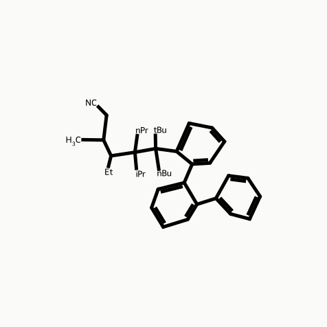 CCCCC(c1ccccc1-c1ccccc1-c1ccccc1)(C(C)(C)C)C(CCC)(C(C)C)C(CC)C(C)CC#N